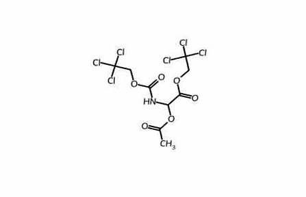 CC(=O)OC(NC(=O)OCC(Cl)(Cl)Cl)C(=O)OCC(Cl)(Cl)Cl